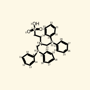 O=S(=O)(O)CCN(CP(c1ccccc1)c1ccccc1)CP(c1ccccc1)c1ccccc1